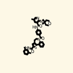 Cc1cnc(N2CC3(CCOCC3)C2)c(C(=O)Nc2ccc(C(=O)N3CCc4cc(C(=O)Nc5c(C)cccc5C)sc4-c4ccccc43)cc2)c1